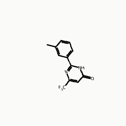 Cc1cccc(-c2nc(C(F)(F)F)cc(=O)[nH]2)c1